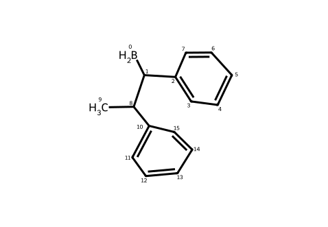 BC(c1ccccc1)C(C)c1ccccc1